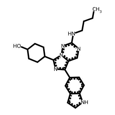 CCCCNc1ncc2c(-c3ccc4[nH]ccc4c3)nc(C3CCC(O)CC3)n2n1